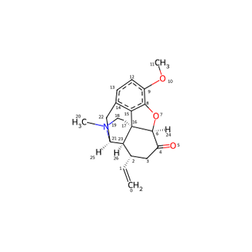 C=C[C@H]1CC(=O)[C@@H]2Oc3c(OC)ccc4c3[C@@]23CCN(C)[C@H](C4)[C@H]13